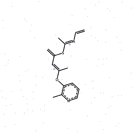 C=C/N=C(\C)SC(=C)/C=C(\C)Oc1cccnc1C